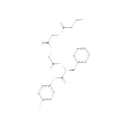 C[C@H](NC(=O)CCC(=O)O)C(=O)N[C@@H](C)C(=O)N[C@@H](Cc1ccccc1)C(=O)Nc1ccc([N+](=O)[O-])cc1